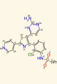 CCCS(=O)(=O)Nc1cccc(-c2nc(-c3ccncc3)sc2-c2ccnc(N)n2)c1Cl